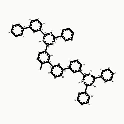 Cc1ccc(-c2nc(-c3ccccc3)nc(-c3cccc(-c4ccccc4)c3)n2)cc1-c1cccc(-c2cccc(-c3nc(-c4ccccc4)nc(-c4ccccc4)n3)c2)c1